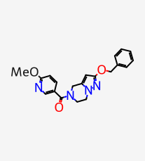 COc1ccc(C(=O)N2CCn3nc(OCc4ccccc4)cc3C2)cn1